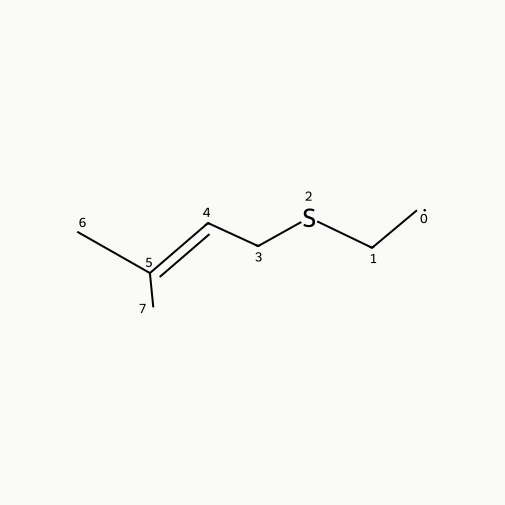 [CH2]CSCC=C(C)C